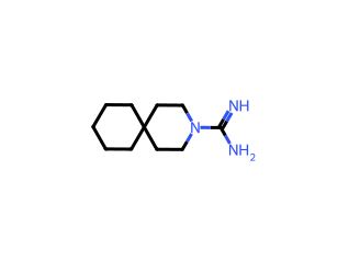 N=C(N)N1CCC2(CCCCC2)CC1